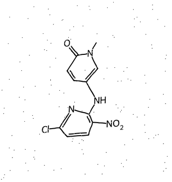 Cn1cc(Nc2nc(Cl)ccc2[N+](=O)[O-])ccc1=O